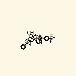 CCOC(=O)C(C)(Cc1csc(-c2ccccc2)n1)c1ccnc2c(-c3ccc(C(F)(F)F)cc3)cnn12